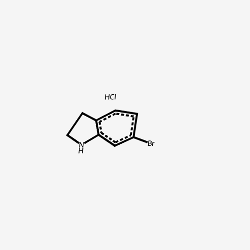 Brc1ccc2c(c1)NCC2.Cl